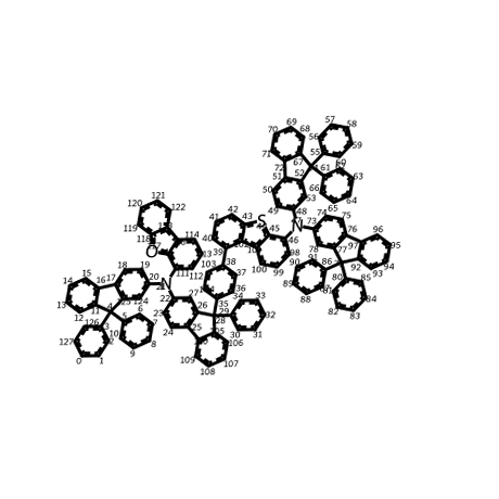 c1ccc(C2(c3ccccc3)c3ccccc3-c3ccc(N(c4ccc5c(c4)C(c4ccccc4)(c4ccc(-c6cccc7sc8c(N(c9ccc%10c(c9)C(c9ccccc9)(c9ccccc9)c9ccccc9-%10)c9ccc%10c(c9)C(c9ccccc9)(c9ccccc9)c9ccccc9-%10)cccc8c67)cc4)c4ccccc4-5)c4cccc5c4oc4ccccc45)cc32)cc1